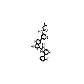 CC(C)CC(=O)Nc1cncc(-c2cnc3[nH]nc(-c4nc5c(-c6ccccc6F)cncc5[nH]4)c3c2)c1